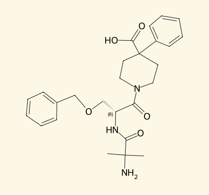 CC(C)(N)C(=O)N[C@H](COCc1ccccc1)C(=O)N1CCC(C(=O)O)(c2ccccc2)CC1